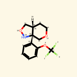 FC(F)(F)Oc1ccccc1[C@]12COCC[C@H]1CON2